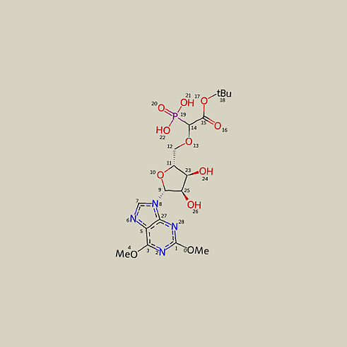 COc1nc(OC)c2ncn([C@@H]3O[C@H](COC(C(=O)OC(C)(C)C)P(=O)(O)O)[C@@H](O)[C@H]3O)c2n1